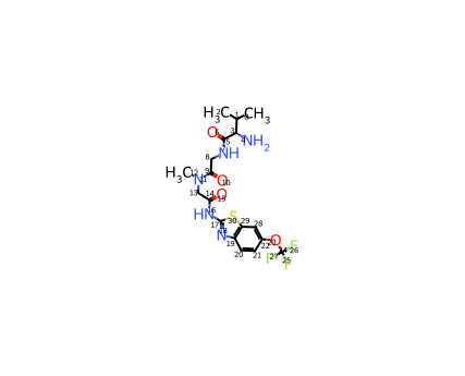 CC(C)[C@@H](N)C(=O)NCC(=O)N(C)CC(=O)Nc1nc2ccc(OC(F)(F)F)cc2s1